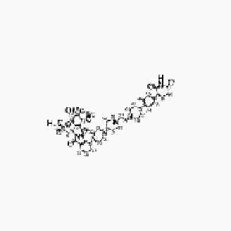 CCOc1cc([C@@H](CS(C)(=O)=O)N2C(=O)c3cccc(N4CCN(C5CCN(CCN6CCC(c7ccc(C8CCC(=O)NC8=O)cc7)CC6)CC5)CC4)c3C2=O)ccc1OC